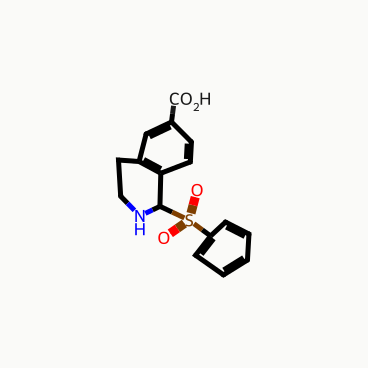 O=C(O)c1ccc2c(c1)CCNC2S(=O)(=O)c1ccccc1